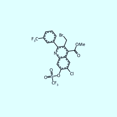 COC(=O)c1c(CBr)c(-c2cccc(C(F)(F)F)c2)nc2cc(OS(=O)(=O)C(F)(F)F)c(Cl)cc12